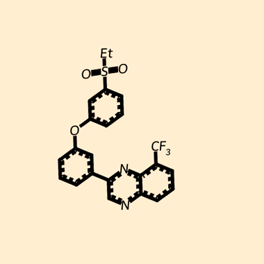 CCS(=O)(=O)c1cccc(Oc2cccc(-c3cnc4cccc(C(F)(F)F)c4n3)c2)c1